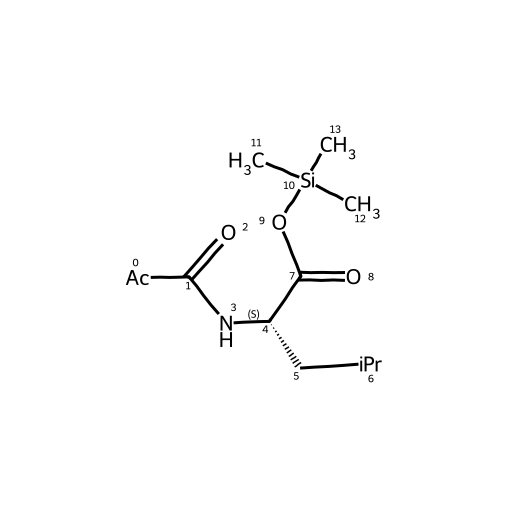 CC(=O)C(=O)N[C@@H](CC(C)C)C(=O)O[Si](C)(C)C